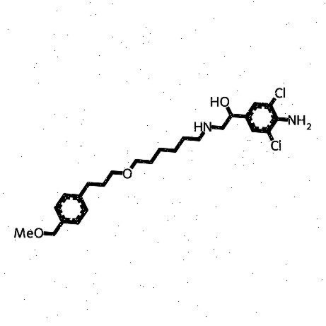 COCc1ccc(CCCOCCCCCCNCC(O)c2cc(Cl)c(N)c(Cl)c2)cc1